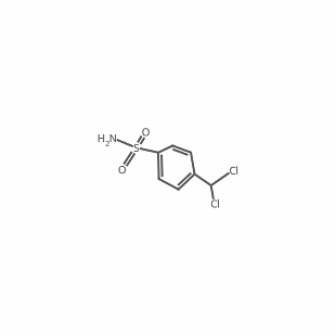 NS(=O)(=O)c1ccc(C(Cl)Cl)cc1